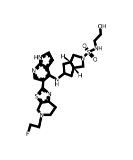 O=S(=O)(NCCO)N1C[C@H]2CC(Nc3c(-c4nc5c(s4)CN(CCF)CC5)cnc4[nH]ccc34)C[C@H]2C1